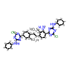 Nc1c(-c2nc(Cl)nc(Nc3ccccc3)n2)ccc(C=Cc2ccc(-c3nc(Cl)nc(Nc4ccccc4)n3)cc2S(=O)(=O)O)c1S(=O)(=O)O